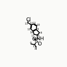 CC(I)S(=O)(=O)N[C@H]1Cc2ccc(CCl)cc2C1